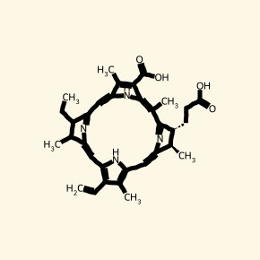 C=Cc1c(C)c2cc3nc(c(C)c4[nH]c(cc5nc(cc1[nH]2)C(C)C5CC)c(C)c4C(=O)O)[C@H](CCC(=O)O)[C@H]3C